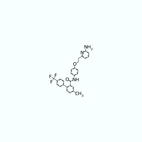 Cc1ccc(-c2ccc(C(F)(F)F)cc2)c(C(=O)Nc2ccc(OCCc3cccc(N)n3)cc2)c1